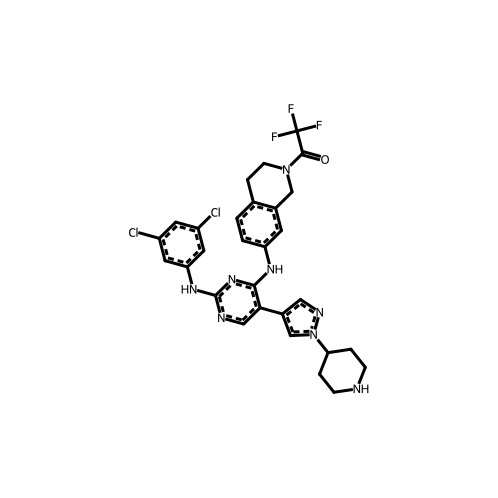 O=C(N1CCc2ccc(Nc3nc(Nc4cc(Cl)cc(Cl)c4)ncc3-c3cnn(C4CCNCC4)c3)cc2C1)C(F)(F)F